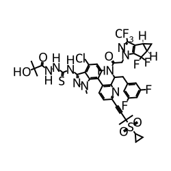 Cn1nc(NC(=S)NNC(=O)C(C)(C)O)c2c(Cl)ccc(-c3ccc(C#CC(C)(C)S(=O)(=O)C4CC4)nc3C(Cc3cc(F)cc(F)c3)NC(=O)Cn3nc(C(F)(F)F)c4c3C(F)(F)[C@@H]3C[C@H]43)c21